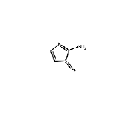 NC1=NC=CS1=[Se]